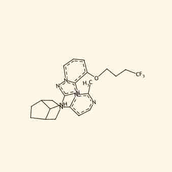 Cc1nccc(N2CC3CCC(C2)C3Nc2nc3c(OCCCC(F)(F)F)cccn3n2)n1